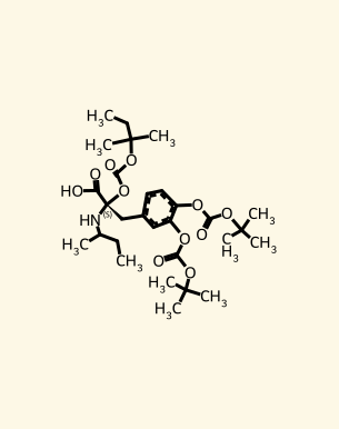 CCC(C)N[C@@](Cc1ccc(OC(=O)OC(C)(C)C)c(OC(=O)OC(C)(C)C)c1)(OC(=O)OC(C)(C)CC)C(=O)O